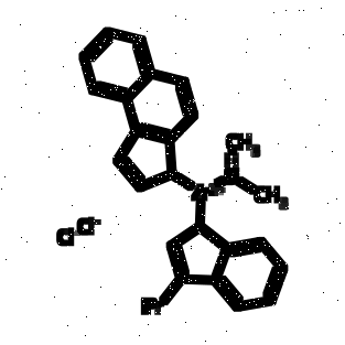 CC(C)C1=C[CH]([Zr+2]([CH]2C=Cc3c2ccc2ccccc32)[SiH](C)C)c2ccccc21.[Cl-].[Cl-]